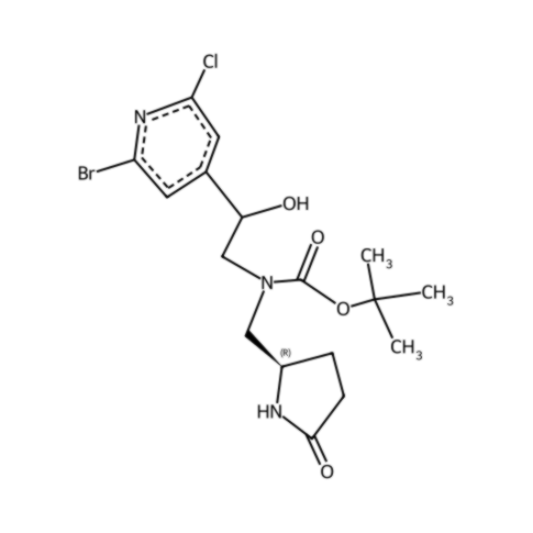 CC(C)(C)OC(=O)N(CC(O)c1cc(Cl)nc(Br)c1)C[C@H]1CCC(=O)N1